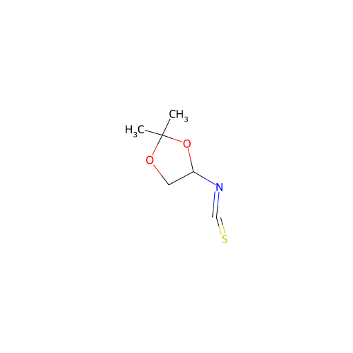 CC1(C)OCC(N=C=S)O1